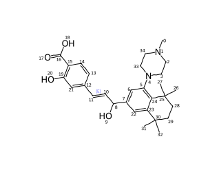 CN1CCN(c2cc(C(O)/C=C/c3ccc(C(=O)O)c(O)c3)cc3c2C(C)(C)CCC3(C)C)CC1